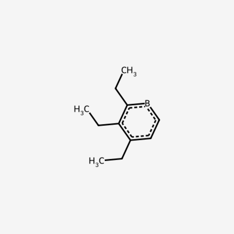 CCc1bccc(CC)c1CC